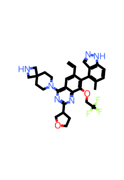 C=Cc1cc2c(N3CCC4(CC3)CNC4)nc(C3CCOC3)nc2c(OCC(F)(F)F)c1-c1c(C)ccc2[nH]ncc12